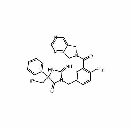 CC(C)CC1(c2ccccc2)NC(=N)N(Cc2ccc(C(F)(F)F)c(C(=O)N3Cc4cncnc4C3)c2)C1=O